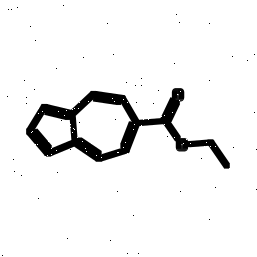 CCOC(=O)c1ccc2cccc-2cc1